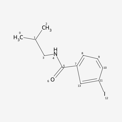 CC(C)CNC(=O)c1cccc(I)c1